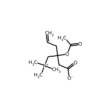 C=CCC(CC(=O)[O-])(C[N+](C)(C)C)OC(C)=O